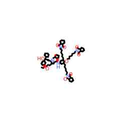 CCOC(=O)/C=C/c1cc(C(=O)Nc2cc(CCCCCCN3C(=O)c4ccccc4C3=O)c(OCCCCCCCN3C(=O)c4ccccc4C3=O)c(CCCCCCN3C(=O)c4ccccc4C3=O)c2)n(Cc2ccccc2)c1C#CC(O)(c1ccccc1)c1ccccc1